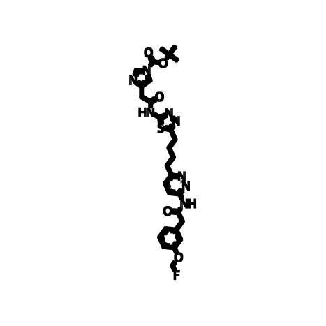 CC(C)(C)OC(=O)n1cnc(CC(=O)Nc2nnc(CCCCc3ccc(NC(=O)Cc4cccc(OCF)c4)nn3)s2)c1